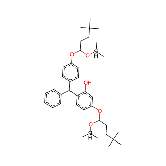 C[SiH](C)OC(CCC(C)(C)C)Oc1ccc(C(c2ccccc2)c2ccc(OC(CCC(C)(C)C)O[SiH](C)C)cc2O)cc1